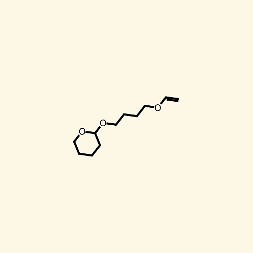 C=COCCCCOC1CCCCO1